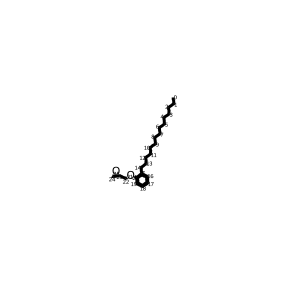 CCCCCCCCCCCCCCCc1ccccc1OCC1CO1